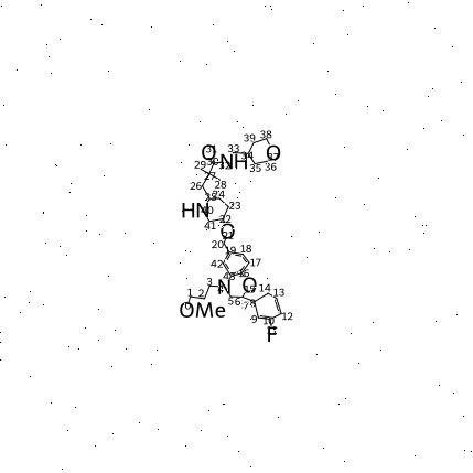 COCCCN1C[C@](C)(C2C=C(F)C=CC2)Oc2ccc(CO[C@@H]3CCC(CC(C)(C)C(=O)NCC4CCOCC4)NC3)cc21